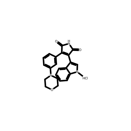 Cl.Cn1cc(C2=C(c3cccc(N4CCOCC4)c3)C(=O)NC2=O)c2ccccc21